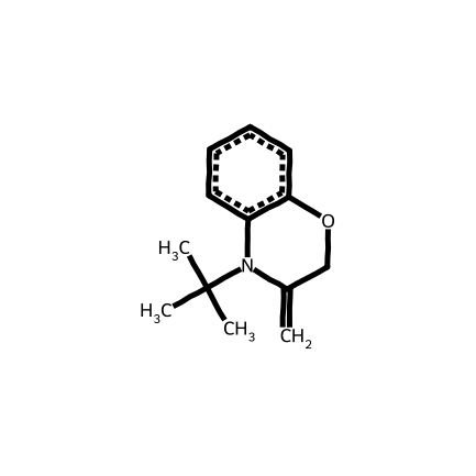 C=C1COc2ccccc2N1C(C)(C)C